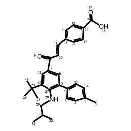 Cc1ccc(-c2cc(C(=O)/C=C/c3ccc(C(=O)O)cc3)cc(C(C)(C)C)c2NCC(C)C)cc1